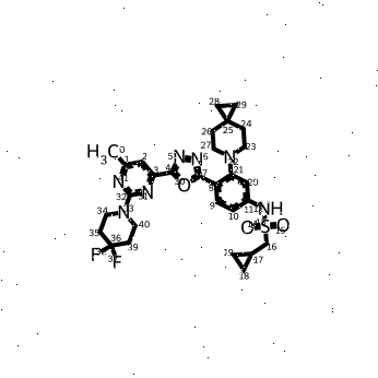 Cc1cc(-c2nnc(-c3ccc(NS(=O)(=O)CC4CC4)cc3N3CCC4(CC3)CC4)o2)nc(N2CCC(F)(F)CC2)n1